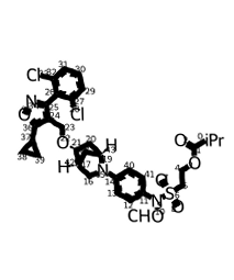 CC(C)C(=O)OCCS(=O)(=O)N(C=O)c1ccc(N2C[C@@H]3C[C@H]2C[C@H]3OCc2c(-c3c(Cl)cccc3Cl)noc2C2CC2)cc1